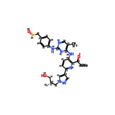 CNC(=O)c1nc(-c2cnn(C[C@H](C)CO)c2)ccc1Nc1nc(Nc2ccc(CP=O)cc2)ncc1C(F)(F)F